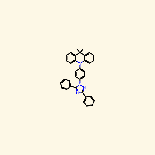 CC1(C)c2ccccc2N(c2ccc(-n3nc(-c4ccccc4)nc3-c3ccccc3)cc2)c2ccccc21